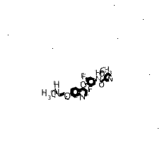 CNCCOc1ccc2c(Oc3c(F)cc(NC(=O)c4cnccc4OC)cc3F)ccnc2c1